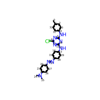 Cc1ccc(Nc2nc(Cl)nc(Nc3ccc(N=Nc4ccc(N(C)C)cc4)cc3)n2)cc1